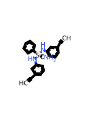 C#Cc1cccc(N[Si](CN)(Nc2cccc(C#C)c2)c2ccccc2)c1